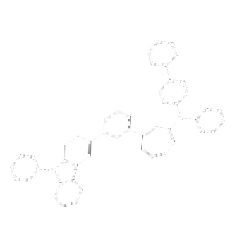 C1=CC=C(N(c2ccccc2)c2ccc(-c3ccccc3)cc2)C=C(c2cccc(C3=Cc4c(n(-c5ccccc5)c5ccccc45)CC3)c2)C=1